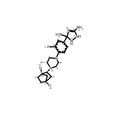 C[C@@H]1CN(c2ccc(C3(N)N=C(N)NN3)cc2F)CCN1[C@H]1C[C@@H]2CC[C@H]1C2